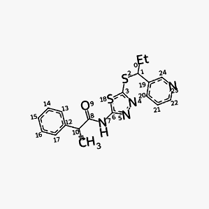 CCC(Sc1nnc(NC(=O)C(C)c2ccccc2)s1)c1cccnc1